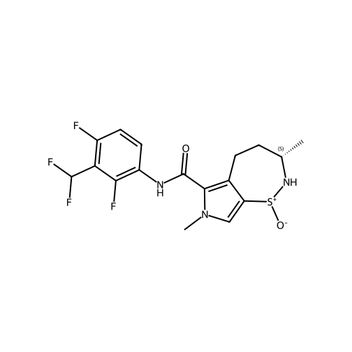 C[C@H]1CCc2c(cn(C)c2C(=O)Nc2ccc(F)c(C(F)F)c2F)[S+]([O-])N1